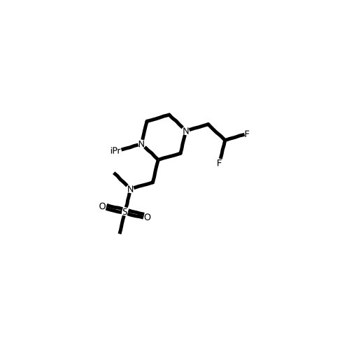 CC(C)N1CCN(CC(F)F)CC1CN(C)S(C)(=O)=O